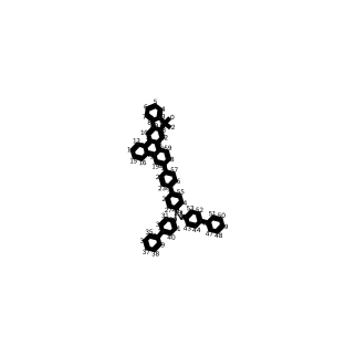 CC1(C)c2ccccc2-c2cc3c4ccccc4c4cc(-c5ccc(-c6ccc(N(c7ccc(-c8ccccc8)cc7)c7ccc(-c8ccccc8)cc7)cc6)cc5)ccc4c3cc21